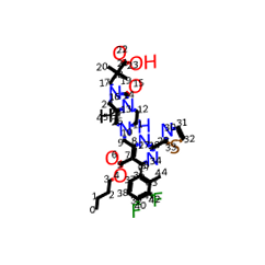 CCCCOC(=O)C1=C(CN2CCN3C(=O)N(CC(C)(C)C(=O)O)C[C@@H]3C2)NC(c2nccs2)=N[C@H]1c1ccc(F)c(F)c1C